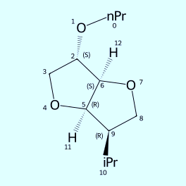 CCCO[C@H]1CO[C@H]2[C@@H]1OC[C@H]2C(C)C